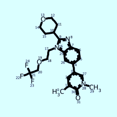 Cc1cc(-c2ccc3nc(C4CCOCC4)n(CCOCC(F)(F)F)c3c2)cn(C)c1=O